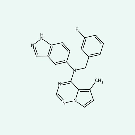 Cc1[c]cn2ncnc(N(Cc3cccc(F)c3)c3ccc4[nH]ncc4c3)c12